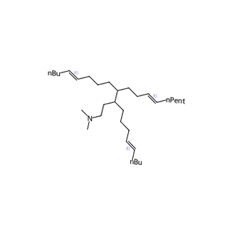 CCCC/C=C/CCCC(CC/C=C/CCCCC)C(CCC/C=C/CCCC)CCN(C)C